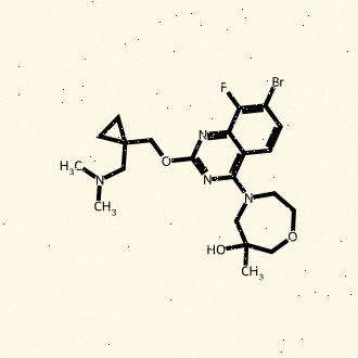 CN(C)CC1(COc2nc(N3CCOCC(C)(O)C3)c3ccc(Br)c(F)c3n2)CC1